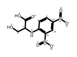 O=C(O)C(CO)Nc1ccc([N+](=O)[O-])cc1[N+](=O)[O-]